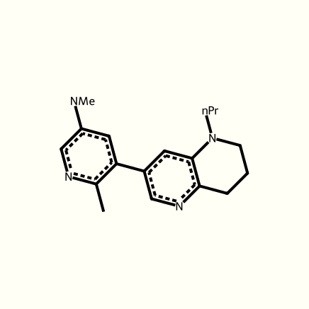 CCCN1CCCc2ncc(-c3cc(NC)cnc3C)cc21